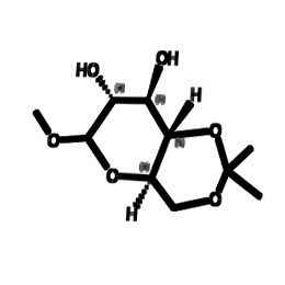 COC1O[C@@H]2COC(C)(C)O[C@H]2[C@H](O)[C@H]1O